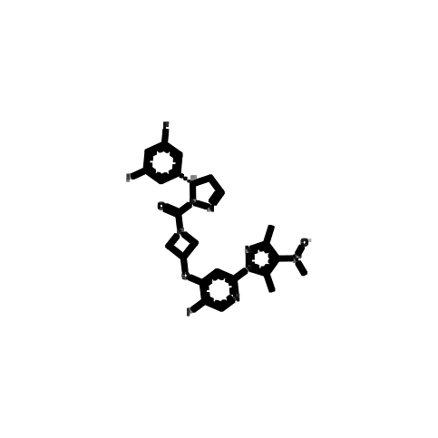 Cc1nn(-c2cc(OC3CN(C(=O)N4N=CC[C@H]4c4cc(F)cc(F)c4)C3)c(F)cn2)c(C)c1[S+](C)[O-]